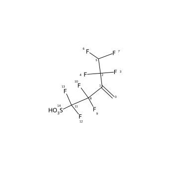 C=C(C(F)(F)C(F)F)C(F)(F)C(F)(F)S(=O)(=O)O